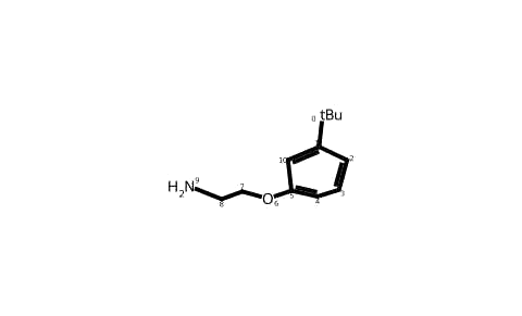 CC(C)(C)c1cccc(OCCN)c1